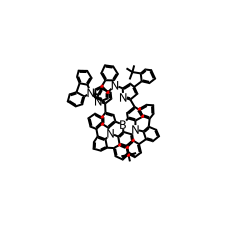 CC(C)(C)c1cc2c3c(c1)N(c1c(-c4ccccc4)cccc1-c1ccccc1)c1ccc(-c4cc(-c5ccccc5C(C)(C)C)cc(-n5c6ccccc6c6ccccc65)n4)cc1B3c1cc(-c3cccc(-n4c5ccccc5c5ccccc54)n3)ccc1N2c1c(-c2ccccc2)cccc1-c1ccccc1